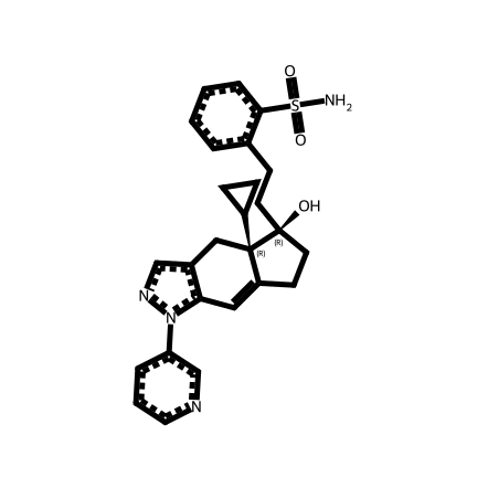 NS(=O)(=O)c1ccccc1CC[C@]1(O)CCC2=Cc3c(cnn3-c3cccnc3)C[C@@]21C1CC1